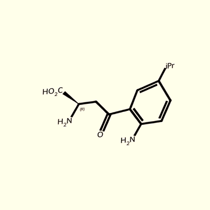 CC(C)c1ccc(N)c(C(=O)C[C@@H](N)C(=O)O)c1